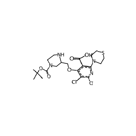 CC(C)(C)OC(=O)N1CCNC(COc2c(Cl)c(Cl)nc(N3CCSCC3)c2C(=O)O)C1